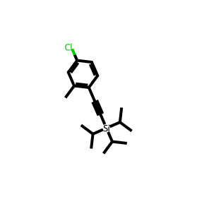 Cc1cc(Cl)ccc1C#C[Si](C(C)C)(C(C)C)C(C)C